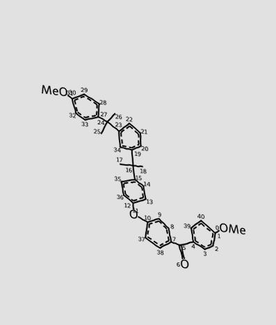 COc1ccc(C(=O)c2ccc(Oc3ccc(C(C)(C)c4cccc(C(C)(C)c5ccc(OC)cc5)c4)cc3)cc2)cc1